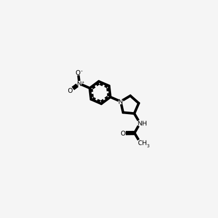 CC(=O)NC1CCN(c2ccc([N+](=O)[O-])cc2)C1